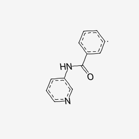 O=C(Nc1cccnc1)c1c[c]ccc1